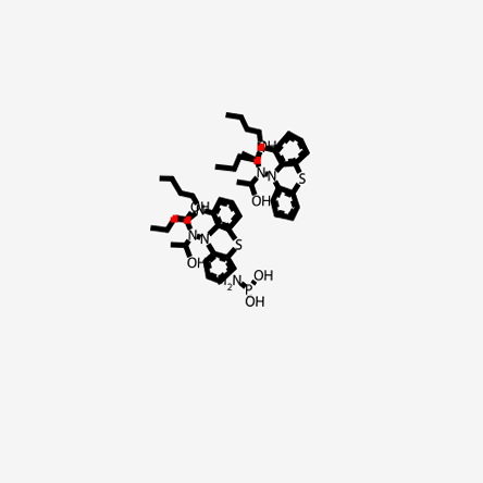 CCCCN(CCCC)c1cccc2c1N(N(C(C)O)C(C)O)c1ccccc1S2.CCCCN(CCCC)c1cccc2c1N(N(C(C)O)C(C)O)c1ccccc1S2.NP(O)O